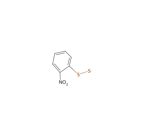 O=[N+]([O-])c1ccccc1S[S]